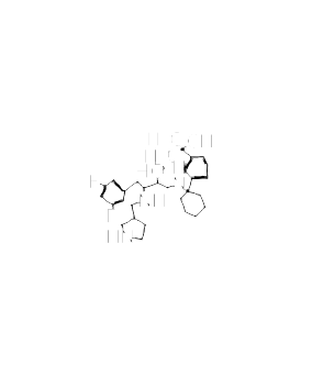 CC(C)(C)c1cccc(C2(NCC(O)C(Cc3cc(F)cc(F)c3)NCC3CCNC3)CCCCC2)c1